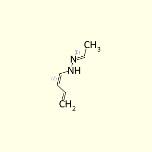 C=C/C=C\N/N=C/C